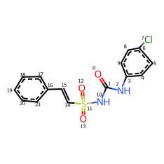 O=C(Nc1ccc(Cl)cc1)NS(=O)(=O)C=Cc1ccccc1